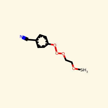 N#Cc1ccc(OOOCCO[SiH3])cc1